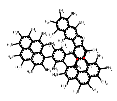 Bc1c(B)c(-c2c(B)c(B)c(B)c3oc4c(B)c5c(B)c(B)c(B)c(B)c5c(B)c4c23)c(-c2c(B)c(B)c3c(B)c(B)c4c(B)c(B)c(B)c5c(B)c(B)c2c3c45)c(B)c1-c1c(B)c(B)c2c(B)c(B)c3c(B)c(B)c(B)c4c(B)c(B)c1c2c34